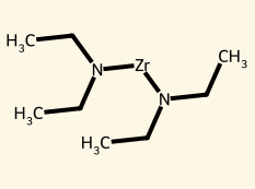 CC[N](CC)[Zr][N](CC)CC